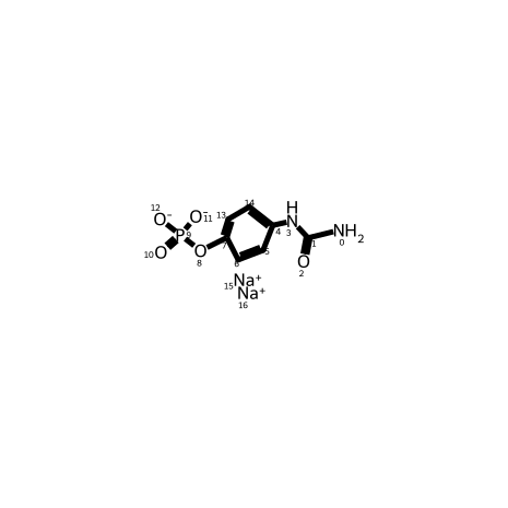 NC(=O)Nc1ccc(OP(=O)([O-])[O-])cc1.[Na+].[Na+]